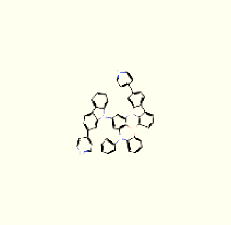 c1ccc(N2c3ccccc3B3c4c2cc(-n2c5ccccc5c5ccc(-c6ccncc6)cc52)cc4-n2c4cc(-c5ccncc5)ccc4c4cccc3c42)cc1